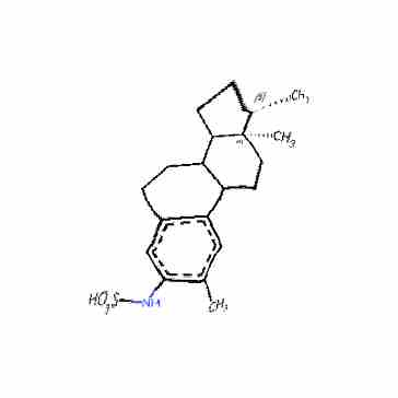 Cc1cc2c(cc1NS(=O)(=O)O)CCC1C2CC[C@@]2(C)C1CC[C@@H]2C